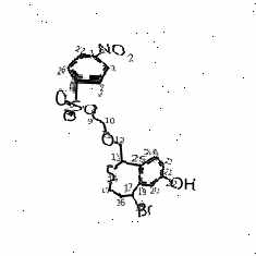 O=[N+]([O-])c1ccc(S(=O)(=O)OCCOCC2SCCC(Br)c3cc(O)ccc32)cc1